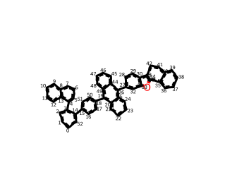 c1ccc(-c2cccc3ccccc23)c(-c2ccc(-c3c4ccccc4c(-c4ccc5c(c4)oc4c6ccccc6ccc54)c4ccccc34)cc2)c1